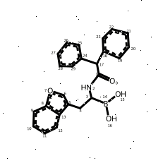 O=C(NC(Cc1coc2ccccc12)B(O)O)C(c1ccccc1)c1ccccc1